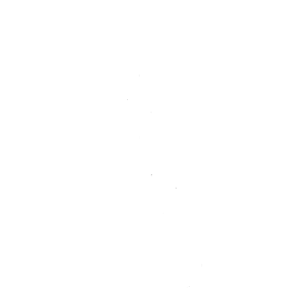 C=CCCCCCCCCC=CC=CC